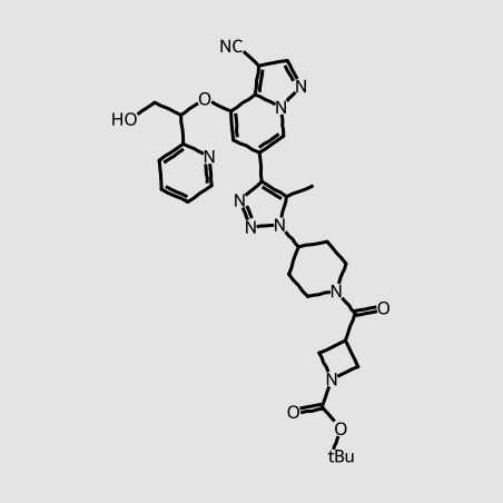 Cc1c(-c2cc(OC(CO)c3ccccn3)c3c(C#N)cnn3c2)nnn1C1CCN(C(=O)C2CN(C(=O)OC(C)(C)C)C2)CC1